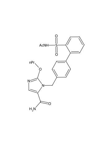 CCCOc1ncc(C(N)=O)n1Cc1ccc(-c2ccccc2S(=O)(=O)NC(C)=O)cc1